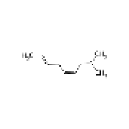 C/C=C/C/C=C\CN(C)C